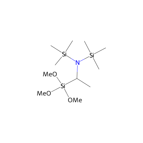 CO[Si](OC)(OC)C(C)N([Si](C)(C)C)[Si](C)(C)C